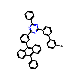 N#Cc1cccc(-c2cccc(-c3nc(-c4ccccc4)nc(-c4cccc(-c5c6ccccc6c(-c6ccccc6)c6ccccc56)c4)n3)c2)c1